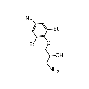 CCc1cc(C#N)cc(CC)c1OCC(O)CN